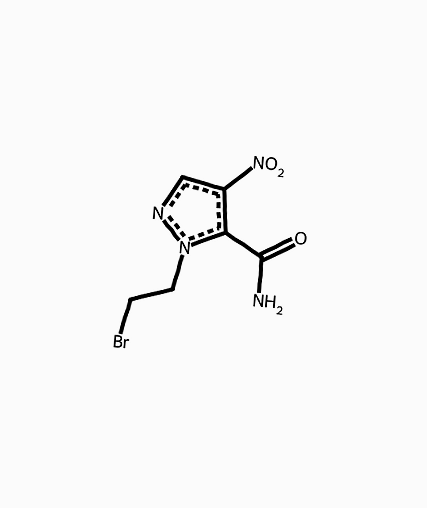 NC(=O)c1c([N+](=O)[O-])cnn1CCBr